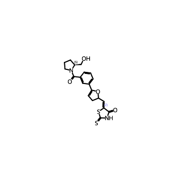 O=C1NC(=S)S/C1=C\C1CC=C(c2cccc(C(=O)N3CCC[C@H]3CO)c2)O1